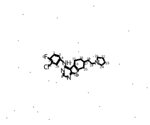 Fc1ccc(Nc2ncnc3sc4c(c23)CCC(CCN2CCCC2)C4)cc1Cl